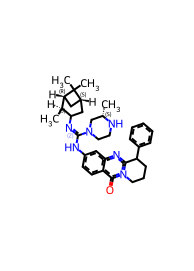 C[C@@H]1C(/N=C(/Nc2ccc3c(=O)n4c(nc3c2)C(c2ccccc2)CCC4)N2CCN[C@@H](C)C2)C[C@@H]2C[C@H]1C2(C)C